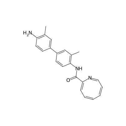 Cc1cc(-c2ccc(NC(=O)C3=CC=CC=CC=N3)c(C)c2)ccc1N